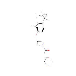 O=C(O)c1c(OC2CN(C(=O)C[C@H]3CNCCO3)C2)ccc2c1OB(O)[C@@H]1C[C@H]21